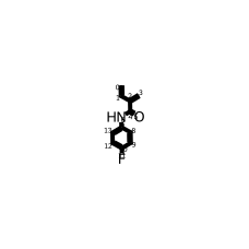 C=CC(=C)C(=O)Nc1ccc(F)cc1